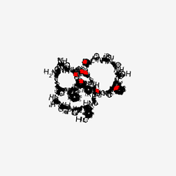 CCC(C)[C@@H]1NC(=O)CNC(=O)[C@H](CC(C)C)NC(=O)[C@@H]2CSSC[C@H](NC(=O)CNC(=O)[C@H](C)NC(=O)[C@H](Cc3ccccc3)NC(=O)[C@H](CO)NC(=O)CNC1=O)C(=O)NCC(=O)N[C@@H](Cc1ccc(O)cc1)C(=O)N[C@@H](C)C(=O)N[C@@H](C(C)C)C(=O)N[C@@H](C(C)C)C(=O)N[C@H]1CSSC[C@H](N)C(=O)N[C@@H](CC(N)=O)C(=O)N[C@@H](CC(=O)N2)C(=O)OC(=O)[C@H](Cc2c[nH]c3ccccc23)NC(=O)[C@H](Cc2ccccc2)NC1=O